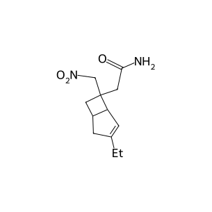 CCC1=CC2C(C1)CC2(CC(N)=O)C[N+](=O)[O-]